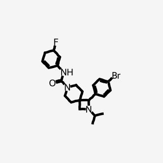 CC(C)N1CC2(CCN(C(=O)NC3=CC(F)CC=C3)CC2)C1c1ccc(Br)cc1